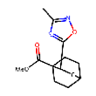 COC(=O)C12CCC(CC1)CC2c1nc(C)no1